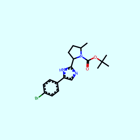 CC1CCC(c2ncc(-c3ccc(Br)cc3)[nH]2)N1C(=O)OC(C)(C)C